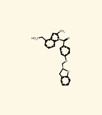 Cc1cc2c(CC(=O)O)cccc2n1C(=O)c1ccc(OC[C@@H]2Cc3ccccc3O2)cc1